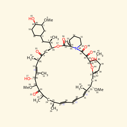 COC1CC(C[C@@H](C)[C@@H]2CC(=O)[C@H](C)/C=C(\C)[C@@H](O)C(OC)C(=O)C(C)C[C@H](C)/C=C/C=C/C=C(\C)[C@@H](OC)C[C@@H]3CC[C@@H](C)[C@@](O)(O3)C(=O)C(=O)N3CCCC[C@H]3C(=O)O2)CC[C@H]1O